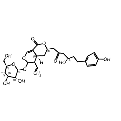 C=CC1C(O[C@@H]2O[C@H](CO)[C@@H](O)[C@H](O)[C@H]2O)OC=C2C(=O)O[C@@H](CC(=O)C[C@@H](O)CCc3ccc(O)cc3)C[C@H]21